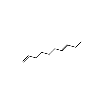 C=CCC[CH]CC=CCC